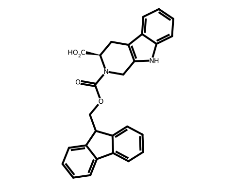 O=C(O)[C@H]1Cc2c([nH]c3ccccc23)CN1C(=O)OCC1c2ccccc2-c2ccccc21